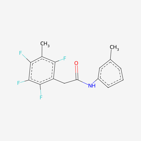 Cc1cccc(NC(=O)Cc2c(F)c(C)c(F)c(F)c2F)c1